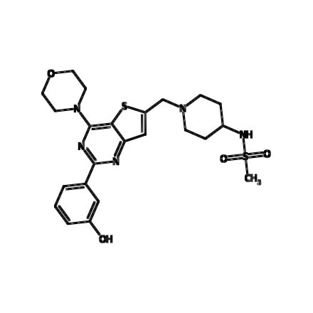 CS(=O)(=O)NC1CCN(Cc2cc3nc(-c4cccc(O)c4)nc(N4CCOCC4)c3s2)CC1